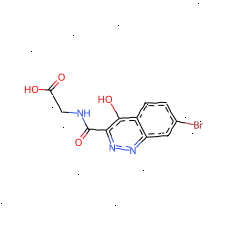 O=C(O)CNC(=O)c1nnc2cc(Br)ccc2c1O